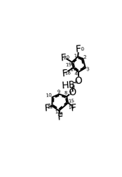 Fc1ccc(OBOc2ccc(F)c(F)c2F)c(F)c1F